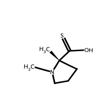 CN1CCC[C@@]1(C)C(O)=S